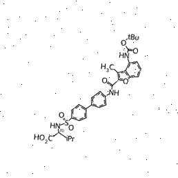 Cc1c(C(=O)Nc2ccc(-c3ccc(S(=O)(=O)N[C@H](C(=O)O)C(C)C)cc3)cc2)oc2cccc(NC(=O)OC(C)(C)C)c12